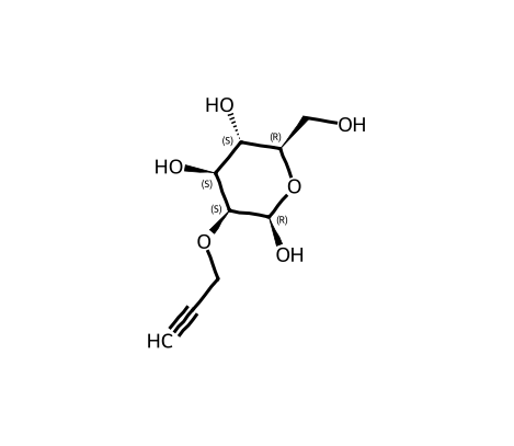 C#CCO[C@H]1[C@@H](O)[C@H](O)[C@@H](CO)O[C@H]1O